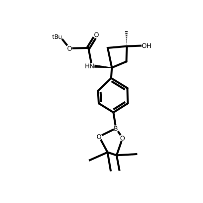 CC(C)(C)OC(=O)N[C@]1(c2ccc(B3OC(C)(C)C(C)(C)O3)cc2)C[C@](C)(O)C1